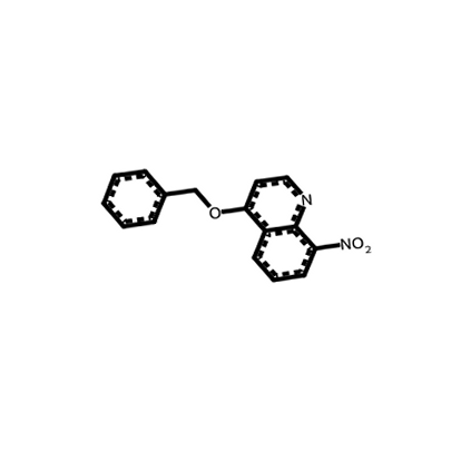 O=[N+]([O-])c1cccc2c(OCc3ccccc3)ccnc12